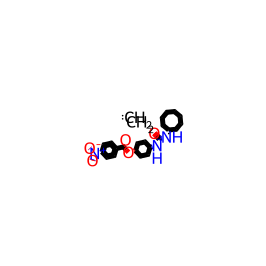 O=C(N[C]1CCCCCCC1)NC1CCC(OC(=O)c2ccc([N+](=O)[O-])cc2)CC1.[CH2].[CH2]